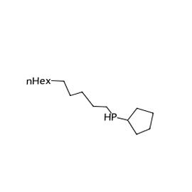 CCCCCCCCCCCPC1CCCC1